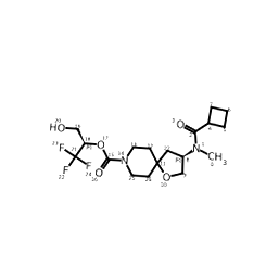 CN(C(=O)C1CCC1)[C@H]1COC2(CCN(C(=O)O[C@H](CO)C(F)(F)F)CC2)C1